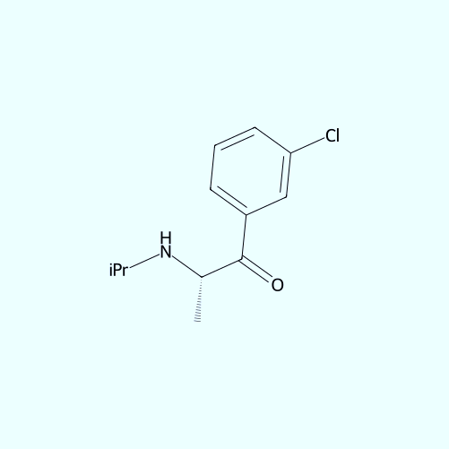 CC(C)N[C@@H](C)C(=O)c1cccc(Cl)c1